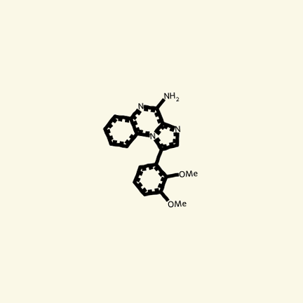 COc1cccc(-c2cnc3c(N)nc4ccccc4n23)c1OC